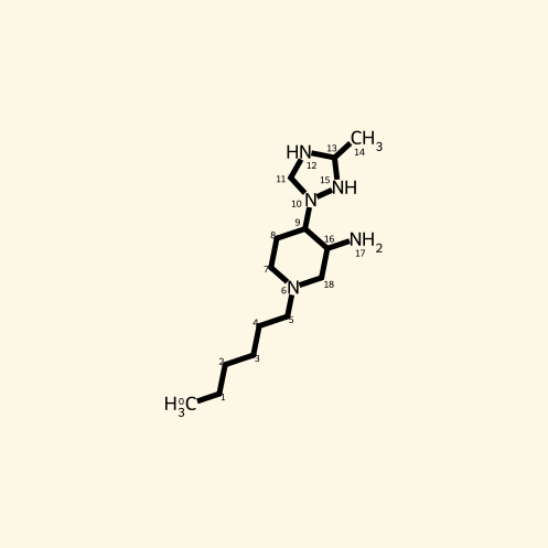 CCCCCCN1CCC(N2CNC(C)N2)C(N)C1